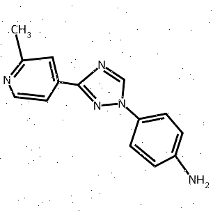 Cc1cc(-c2ncn(-c3ccc(N)cc3)n2)ccn1